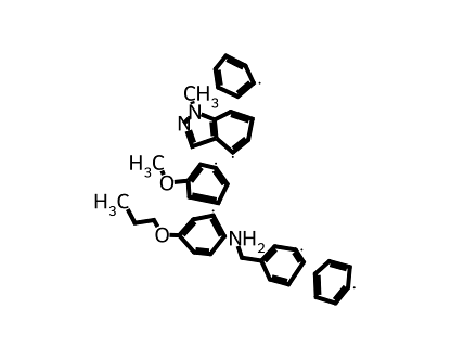 CCCOc1c[c]ccc1.COc1c[c]ccc1.Cn1ncc2[c]cccc21.NCc1c[c]ccc1.[c]1ccccc1.[c]1ccccc1